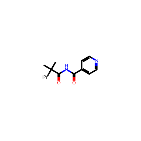 CC(C)C(C)(C)C(=O)NC(=O)c1ccncc1